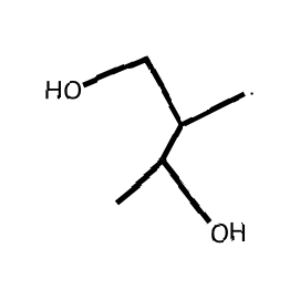 [CH2]C(CO)C(C)O